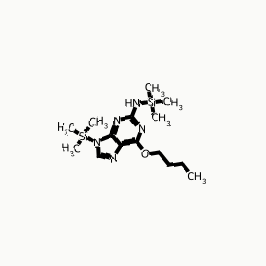 CCCCOc1nc(N[Si](C)(C)C)nc2c1ncn2[Si](C)(C)C